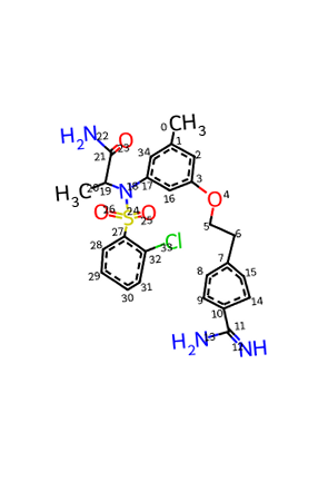 Cc1cc(OCCc2ccc(C(=N)N)cc2)cc(N(C(C)C(N)=O)S(=O)(=O)c2ccccc2Cl)c1